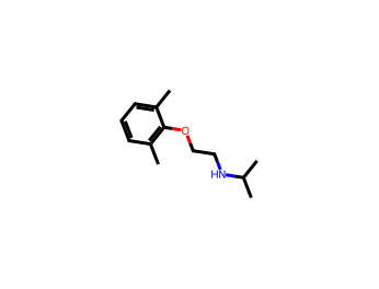 Cc1cccc(C)c1OCCNC(C)C